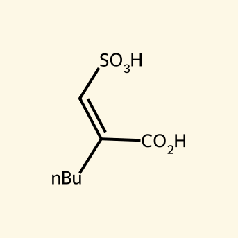 CCCCC(=CS(=O)(=O)O)C(=O)O